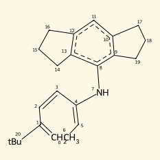 C=C(/C=C\C(=C/C)Nc1c2c(cc3c1CCC3)CCC2)C(C)(C)C